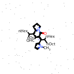 CCCCCCCCC(CCCCCC)/C(c1cccn1C)=c1/c(C=O)c(C(CCCCCC)CCCCCCCC)c2cccn2c1=O